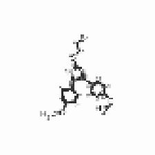 COc1ccc(-c2nc(SCCBr)sc2-c2ccc(OC)cc2)cc1